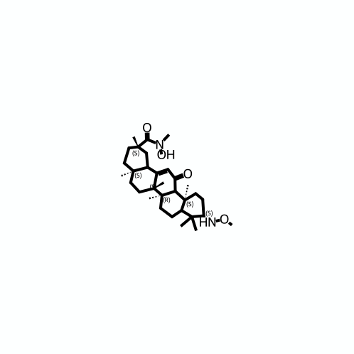 CON[C@H]1CC[C@@]2(C)C(CC[C@]3(C)C2C(=O)C=C2C4C[C@@](C)(C(=O)N(C)O)CC[C@]4(C)CC[C@]23C)C1(C)C